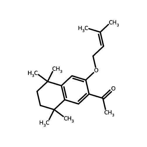 CC(=O)c1cc2c(cc1OCC=C(C)C)C(C)(C)CCC2(C)C